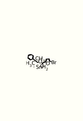 CC(C)(COC(=O)c1ccc(Br)o1)c1ccccc1.[SnH2]